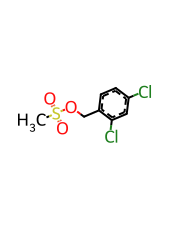 CS(=O)(=O)OCc1ccc(Cl)cc1Cl